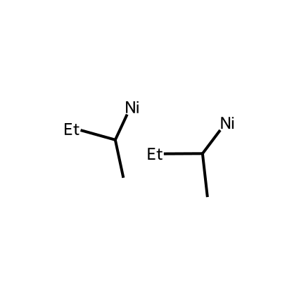 CC[CH](C)[Ni].CC[CH](C)[Ni]